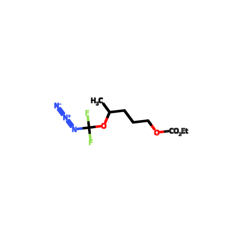 CCOC(=O)OCCCC(C)OC(F)(F)N=[N+]=[N-]